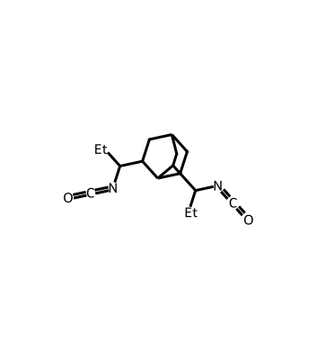 CCC(N=C=O)C1CC2CCC1C(C(CC)N=C=O)C2